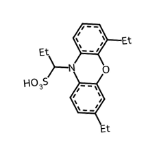 CCc1ccc2c(c1)Oc1c(CC)cccc1N2C(CC)S(=O)(=O)O